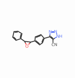 N#Cc1[nH]nnc1-c1ccc(C2OC2c2ccccc2)cc1